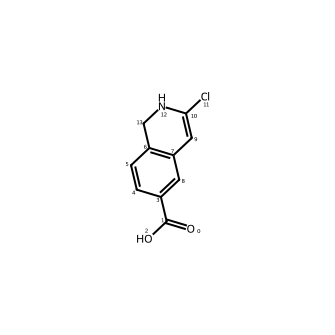 O=C(O)c1ccc2c(c1)C=C(Cl)NC2